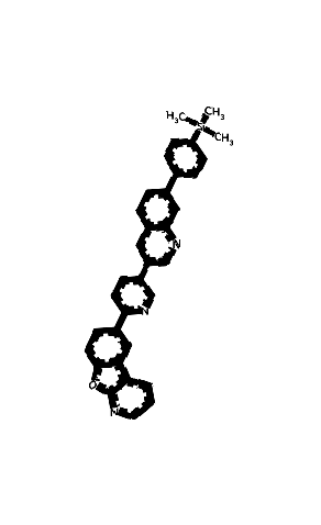 C[Si](C)(C)c1ccc(-c2ccc3cc(-c4ccc(-c5ccc6oc7ncccc7c6c5)nc4)cnc3c2)cc1